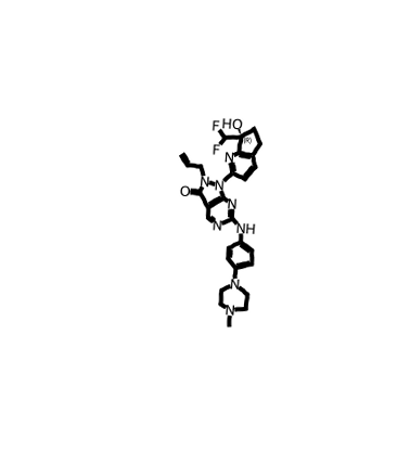 C=CCn1c(=O)c2cnc(Nc3ccc(N4CCN(C)CC4)cc3)nc2n1-c1ccc2c(n1)[C@@](O)(C(F)F)CC2